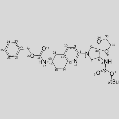 CC(C)(C)OC(=O)NC1CN(c2ccc3c(n2)CC[C@H](NC(=O)OCc2ccccc2)C3)CC12OCCO2